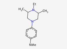 CCN1C(C)CN(c2ccc(NC)cc2)CC1C